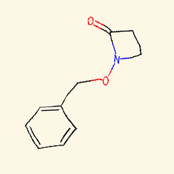 O=C1CCN1OCc1ccccc1